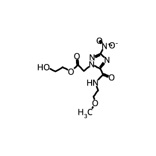 COCCNC(=O)c1nc([N+](=O)[O-])nn1CC(=O)OCCO